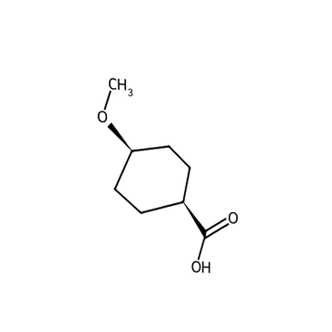 CO[C@H]1CC[C@@H](C(=O)O)CC1